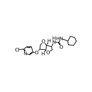 O=C(NC1CCCCC1)N[C@H]1CO[C@H]2[C@@H]1OC[C@@H]2Oc1ccc(Cl)nc1